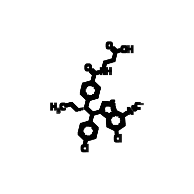 [C-]#[N+]c1cc(Cl)cc2c(C(c3ccc(Cl)cc3)[C@H](CCC)c3ccc(C(=O)NCCC(=O)O)cc3)csc12